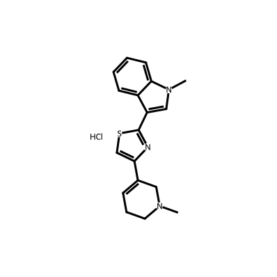 CN1CCC=C(c2csc(-c3cn(C)c4ccccc34)n2)C1.Cl